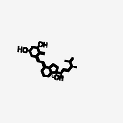 C=C1C(=CC=C2CCC[C@@]3(C)C2CC[C@@]3(O)[C@H](C)C=C[C@H](C)C(C)C)C[C@@H](O)C[C@H]1O